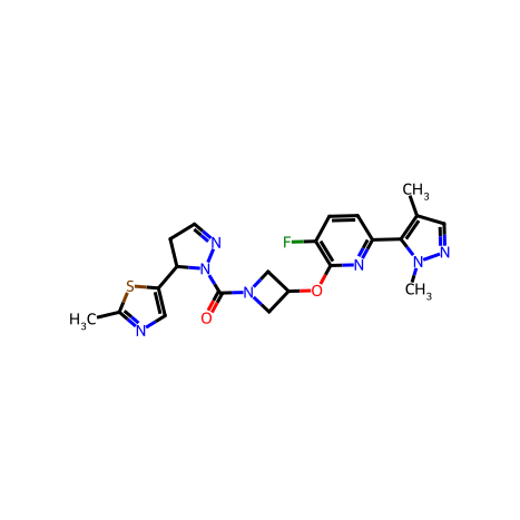 Cc1ncc(C2CC=NN2C(=O)N2CC(Oc3nc(-c4c(C)cnn4C)ccc3F)C2)s1